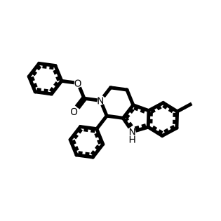 Cc1ccc2[nH]c3c(c2c1)CCN(C(=O)Oc1ccccc1)C3c1ccccc1